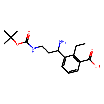 CCc1c(C(=O)O)cccc1C(N)CCNC(=O)OC(C)(C)C